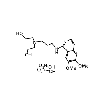 COc1cc2ccnc(NCCCN(CCO)CCO)c2cc1OC.O=[N+]([O-])O.O=[N+]([O-])O